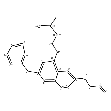 C=CCOc1ccc2cc(Cc3ccccc3)cc(CCNC(C)=O)c2c1